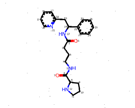 O=C(CCCNC(=O)C1CCCN1)NC(Cc1ccccn1)c1ccccc1